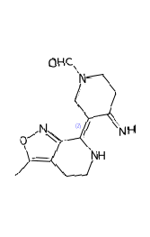 Cc1onc2c1CCN/C2=C1/CN(C=O)CCC1=N